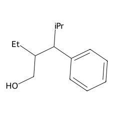 CCC(CO)C(c1ccccc1)C(C)C